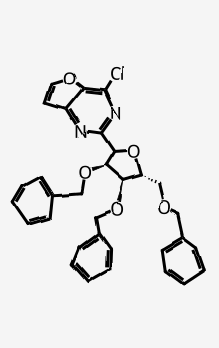 Clc1nc(C2O[C@H](COCc3ccccc3)[C@@H](OCc3ccccc3)[C@H]2OCc2ccccc2)nc2ccoc12